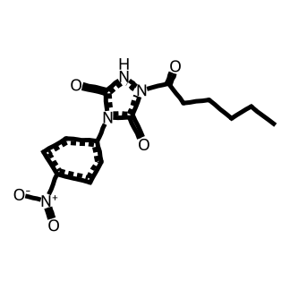 CCCCCC(=O)n1[nH]c(=O)n(-c2ccc([N+](=O)[O-])cc2)c1=O